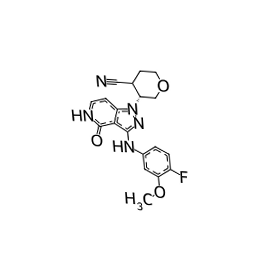 COc1cc(Nc2nn([C@H]3COCCC3C#N)c3cc[nH]c(=O)c23)ccc1F